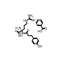 N=C(N)NCCC[C@@](N)(NC(=O)CCc1ccc(O)cc1)C(=O)O.O=C(O)c1ccccc1